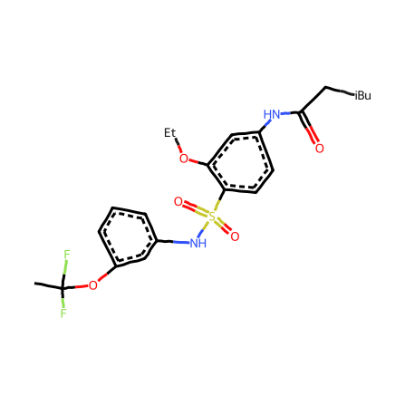 CCOc1cc(NC(=O)CC(C)CC)ccc1S(=O)(=O)Nc1cccc(OC(C)(F)F)c1